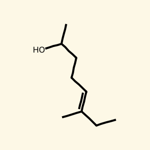 CCC(C)=CCCC(C)O